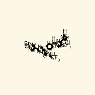 CCOc1ncc(-c2cnc(N(C(=O)NCC(F)(F)F)C3CCC(Nc4ncc(C(F)(F)F)c(-c5n[nH]cc5Cl)n4)CC3)cn2)cn1